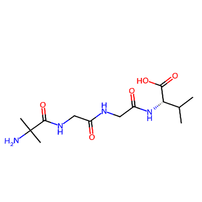 CC(C)[C@H](NC(=O)CNC(=O)CNC(=O)C(C)(C)N)C(=O)O